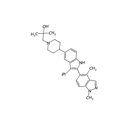 Cc1c(-c2[nH]c3ccc(C4CCN(CC(C)(C)O)CC4)cc3c2C(C)C)ccc2c1cnn2C